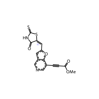 COC(=O)C#Cc1cncc2cc(/C=C3/SC(=S)NC3=O)oc12